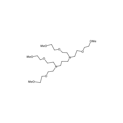 COCCOCCN(CCCN(CCOCCOC)CCOCCOC)CCOCCOC